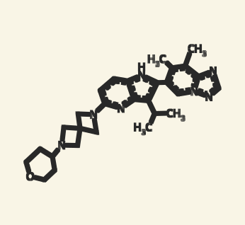 Cc1c(-c2[nH]c3ccc(N4CC5(C4)CN(C4CCOCC4)C5)nc3c2C(C)C)cn2ncnc2c1C